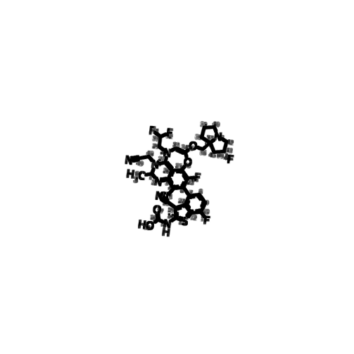 CC1N=c2c(Cl)c(-c3ccc(F)c4sc(NC(=O)O)c(C#N)c34)c(F)c3c2=C(N(CC(F)F)C=C(OC[C@@]24CCCN2C[C@H](F)C4)O3)N1CC#N